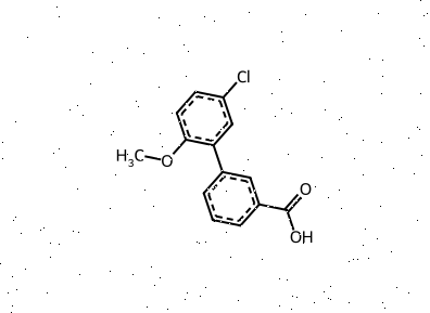 COc1ccc(Cl)cc1-c1cccc(C(=O)O)c1